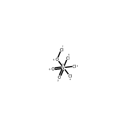 [O]=[V](=[O])([Cl])([Cl])([Cl])[O]Cl